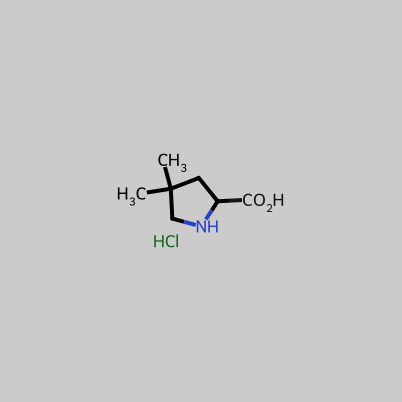 CC1(C)CNC(C(=O)O)C1.Cl